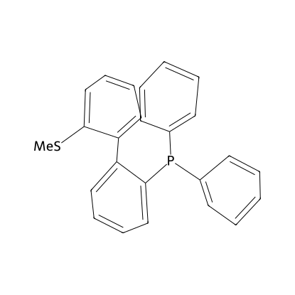 CSc1ccccc1-c1ccccc1P(c1ccccc1)c1ccccc1